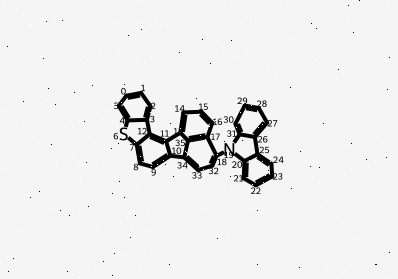 c1ccc2c(c1)sc1ccc3c(c12)-c1cccc2c(-n4c5ccccc5c5ccccc54)ccc-3c12